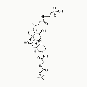 C[C@H](CCC(=O)NCCS(=O)(=O)O)[C@H]1CC[C@H]2[C@@H]3[C@H](O)C[C@@H]4C[C@@H](NC(=O)CNC(=O)OC(C)(C)C)CC[C@]4(C)[C@H]3C[C@H](O)[C@]12C